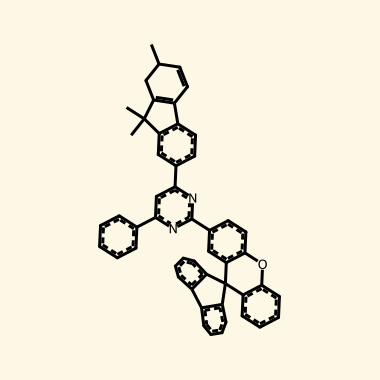 CC1C=CC2=C(C1)C(C)(C)c1cc(-c3cc(-c4ccccc4)nc(-c4ccc5c(c4)C4(c6ccccc6O5)c5ccccc5-c5ccccc54)n3)ccc12